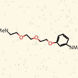 CNCCOCCOCCOc1cccc(NC)c1